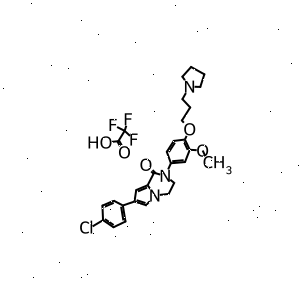 COc1cc(N2CCn3cc(-c4ccc(Cl)cc4)cc3C2=O)ccc1OCCCN1CCCC1.O=C(O)C(F)(F)F